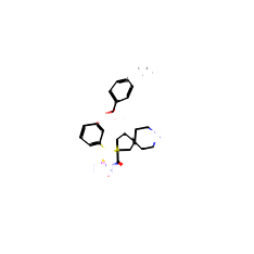 COc1ccc(C(=O)Oc2cccc([S+]([O-])C3(C(=O)NO)CCC4(CCNCC4)C3)c2)cc1